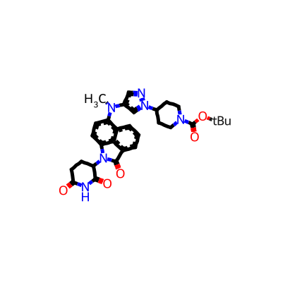 CN(c1cnn(C2CCN(C(=O)OC(C)(C)C)CC2)c1)c1ccc2c3c(cccc13)C(=O)N2C1CCC(=O)NC1=O